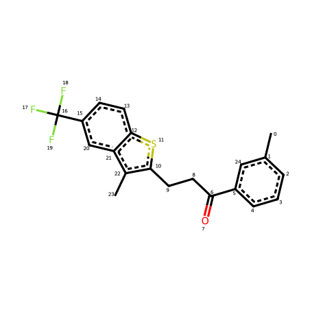 Cc1cccc(C(=O)CCc2sc3ccc(C(F)(F)F)cc3c2C)c1